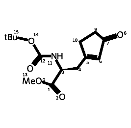 COC(=O)[C@H](CC1=CC(=O)CC1)NC(=O)OC(C)(C)C